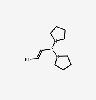 CC/C=C/P(N1CCCC1)N1CCCC1